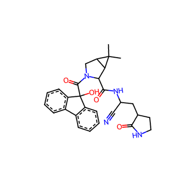 CC1(C)C2CN(C(=O)C3(O)c4ccccc4-c4ccccc43)C(C(=O)NC(C#N)CC3CCNC3=O)C21